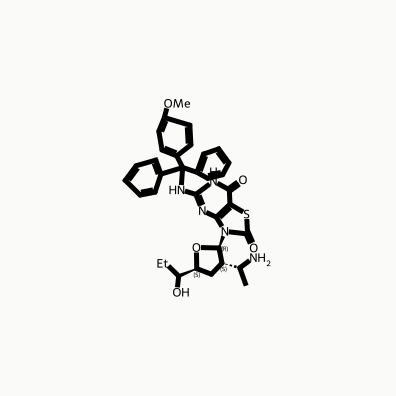 CCC(O)[C@@H]1C[C@@H](C(C)N)[C@H](n2c(=O)sc3c(=O)[nH]c(NC(c4ccccc4)(c4ccccc4)c4ccc(OC)cc4)nc32)O1